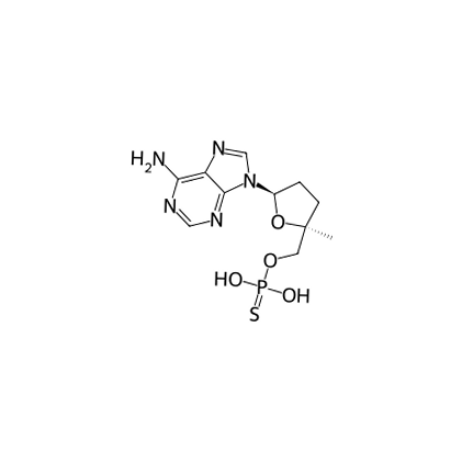 C[C@@]1(COP(O)(O)=S)CC[C@H](n2cnc3c(N)ncnc32)O1